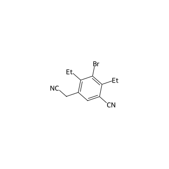 CCc1c(C#N)cc(CC#N)c(CC)c1Br